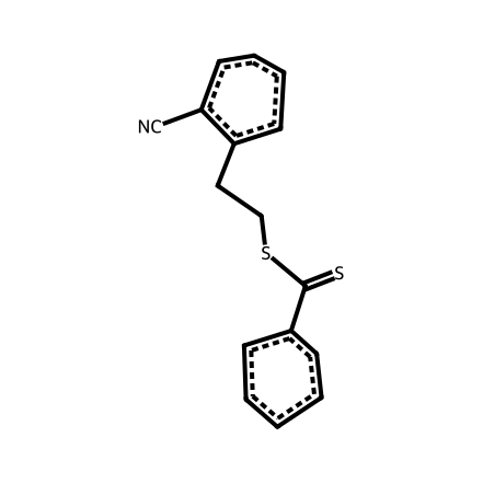 N#Cc1ccccc1CCSC(=S)c1ccccc1